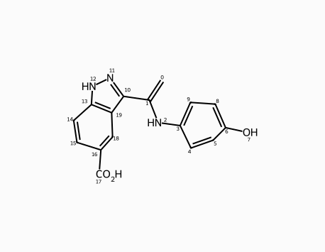 C=C(Nc1ccc(O)cc1)c1n[nH]c2ccc(C(=O)O)cc12